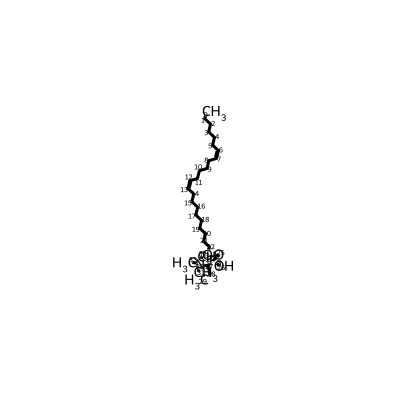 CCCCCC/C=C\CCCC/C=C\CCCCCCCCCOP(=O)(O)C(CC)[N+](C)(C)C